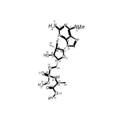 CNc1nc(N)nc2c1ncn2[C@@H]1O[C@H](COP(=O)(N[C@@H](C)C(=O)OC(C)C)OP)[C@@H](O)[C@@]1(C)F